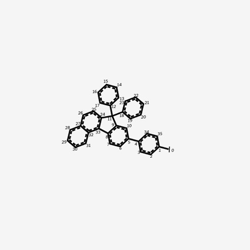 Ic1ccc(-c2ccc3c(c2)C(c2ccccc2)(c2ccccc2)c2ccc4ccccc4c2-3)cc1